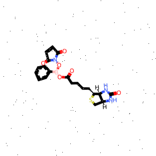 O=C1N[C@H]2[C@H](CS[C@H]2CCCCC(=O)OB(ON2C(=O)C=CC2=O)c2ccccc2)N1